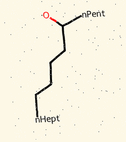 CCCCCCCCCCCC([O])CCCCC